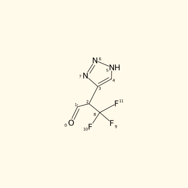 O=[C]C(c1c[nH]nn1)C(F)(F)F